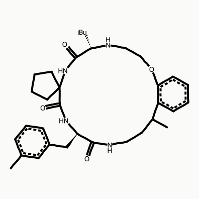 CCC(C)[C@@H]1NCCOc2ccccc2C(C)CCNC(=O)[C@@H](Cc2cccc(C)c2)NC(=O)C2(CCCC2)NC1=O